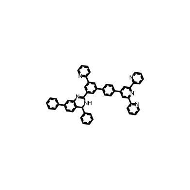 c1ccc(-c2ccc3c(c2)N=C(c2cc(-c4ccc(-c5cc(-c6ccccn6)nc(-c6ccccn6)c5)cc4)cc(-c4ccccn4)c2)NC3c2ccccc2)cc1